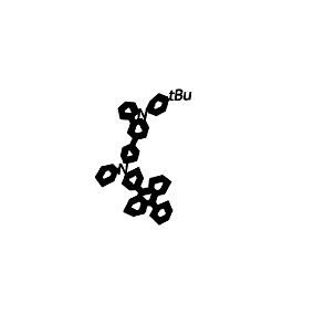 CC(C)(C)c1ccc(-n2c3ccccc3c3cc(-c4ccc(N(c5ccccc5)c5ccc(-c6c7ccccc7c(-c7ccccc7)c7ccccc67)cc5)cc4)ccc32)cc1